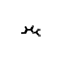 CC=C(C)C(=O)OC(O)CC